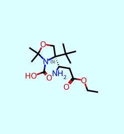 CCOC(=O)CC(N)[C@@]1(C(C)(C)C)COC(C)(C)N1C(=O)O